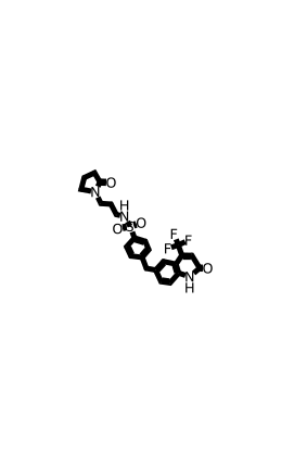 O=C1CCCN1CCCNS(=O)(=O)c1ccc(Cc2ccc3[nH]c(=O)cc(C(F)(F)F)c3c2)cc1